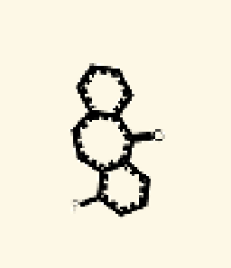 O=c1c2ccccc2ccc2c(F)cccc12